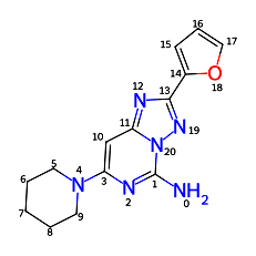 Nc1nc(N2CCCCC2)cc2nc(-c3ccco3)nn12